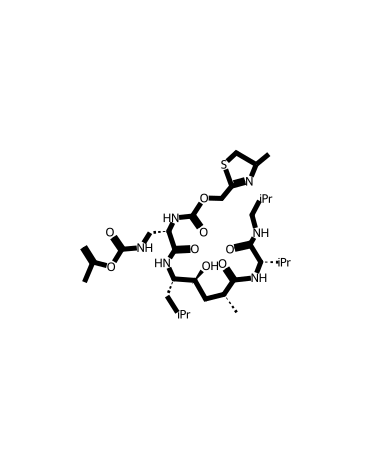 C=C(C)OC(=O)NC[C@H](NC(=O)OCC1=NC(C)CS1)C(=O)N[C@@H](CC(C)C)[C@@H](O)C[C@@H](C)C(=O)N[C@H](C(=O)NCC(C)C)C(C)C